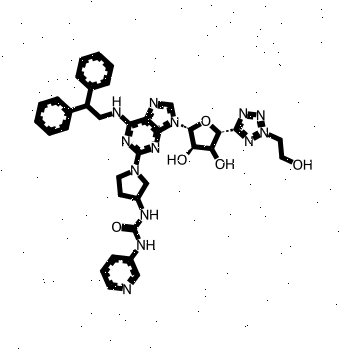 O=C(Nc1cccnc1)NC1CCN(c2nc(NCC(c3ccccc3)c3ccccc3)c3ncn([C@@H]4O[C@H](c5nnn(CCO)n5)C(O)[C@H]4O)c3n2)C1